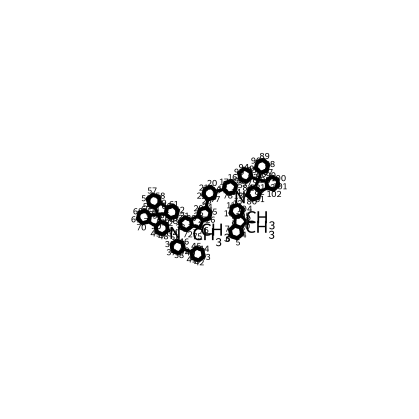 CC1(C)c2ccccc2-c2ccc(N(c3cccc(-c4cccc(-c5ccc6c(c5)-c5ccc(N(c7cccc(-c8ccccc8)c7)c7ccc8c(c7)C7(c9ccccc9-c9ccccc97)c7ccccc7-8)cc5C6(C)C)c4)c3)c3ccc4c(c3)C(c3ccccc3)(c3ccccc3)c3ccccc3-4)cc21